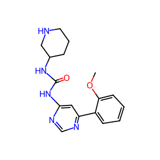 COc1ccccc1-c1cc(NC(=O)NC2CCCNC2)ncn1